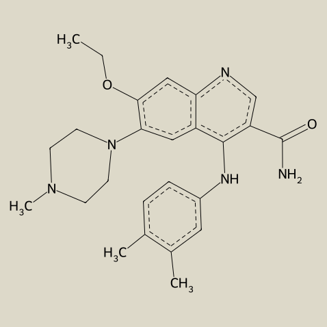 CCOc1cc2ncc(C(N)=O)c(Nc3ccc(C)c(C)c3)c2cc1N1CCN(C)CC1